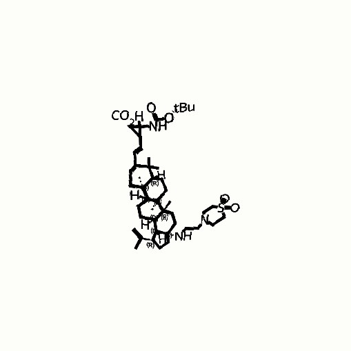 C=C(C)[C@@H]1CC[C@]2(NCCN3CCS(=O)(=O)CC3)CC[C@]3(C)[C@H](CC[C@@H]4[C@@]5(C)CC=C(C=CC6CC6(NC(=O)OC(C)(C)C)C(=O)O)C(C)(C)[C@@H]5CC[C@]43C)[C@@H]12